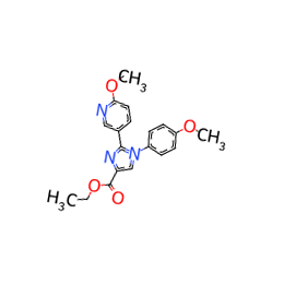 CCOC(=O)c1cn(-c2ccc(OC)cc2)c(-c2ccc(OC)nc2)n1